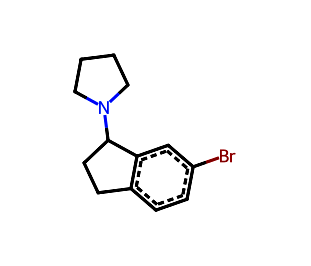 Brc1ccc2c(c1)C(N1CCCC1)CC2